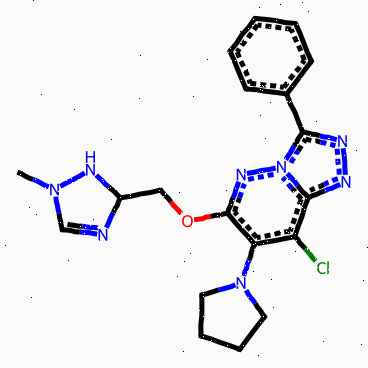 CN1C=NC(COc2nn3c(-c4ccccc4)nnc3c(Cl)c2N2CCCC2)N1